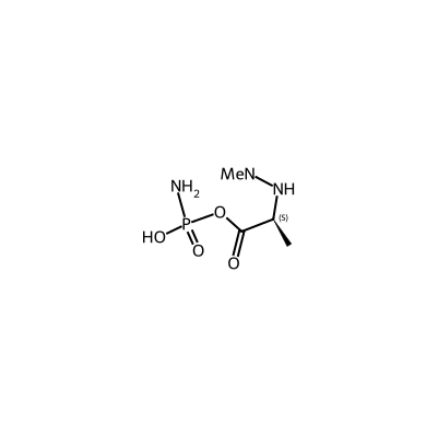 CNN[C@@H](C)C(=O)OP(N)(=O)O